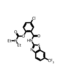 CCN(CC)C(=O)Oc1ccc(Cl)cc1C(=O)Nc1nc2ccc(C(F)(F)F)cc2s1